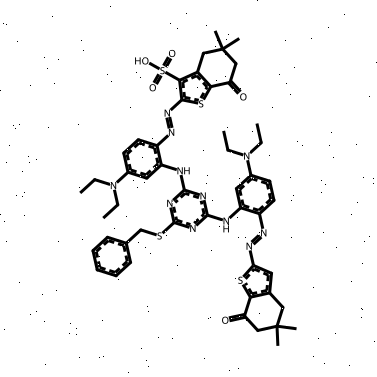 CCN(CC)c1ccc(/N=N/c2cc3c(s2)C(=O)CC(C)(C)C3)c(Nc2nc(Nc3cc(N(CC)CC)ccc3/N=N/c3sc4c(c3S(=O)(=O)O)CC(C)(C)CC4=O)nc(SCc3ccccc3)n2)c1